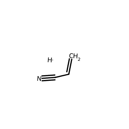 C=CC#N.[H]